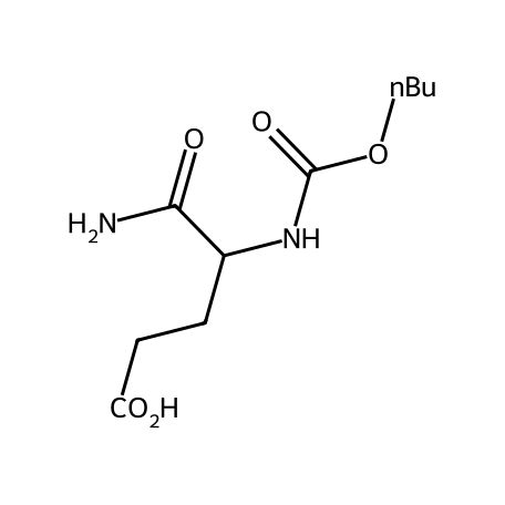 CCCCOC(=O)NC(CCC(=O)O)C(N)=O